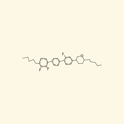 CCCCCc1ccc(-c2ccc(-c3ccc(C4CCC(CCCCC)OC4)cc3F)cc2)c(F)c1F